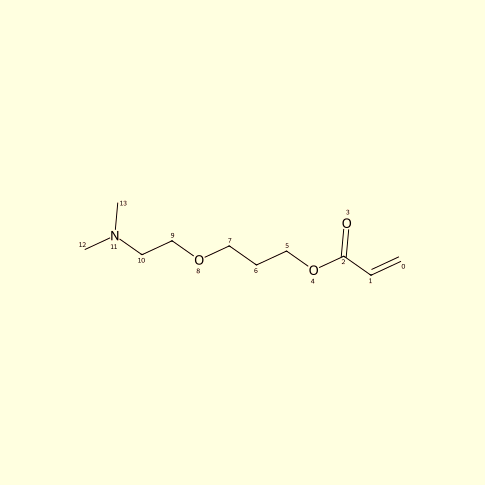 C=CC(=O)OCCCOCCN(C)C